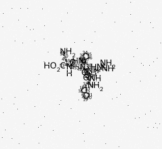 N=C(N)NCCC[C@H](NC(=O)[C@@H](N)Cc1ccc2ccccc2c1)C(=O)N[C@@H](Cc1c[nH]c2ccccc12)C(=O)NCCCC(=O)N[C@@H](CCCCN)C(=O)O